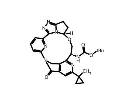 CC(C)(C)OC(=O)N[C@@H]1CO[C@H]2CCc3nnc(n32)-c2cccc(n2)N2Cc3c(cc(C4(C)CC4)nc31)C2=O